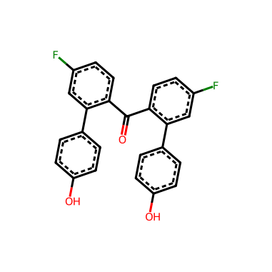 O=C(c1ccc(F)cc1-c1ccc(O)cc1)c1ccc(F)cc1-c1ccc(O)cc1